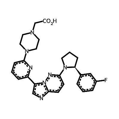 O=C(O)CN1CCN(c2cccc(-c3cnc4ccc(N5CCC[C@H]5c5cccc(F)c5)nn34)n2)CC1